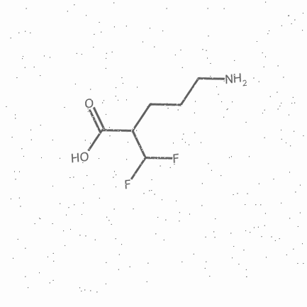 NCCCC(C(=O)O)C(F)F